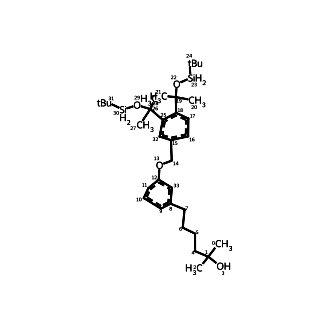 CC(C)(O)CCCCc1cccc(OCc2ccc(C(C)(C)O[SiH2]C(C)(C)C)c(C(C)(C)O[SiH2]C(C)(C)C)c2)c1